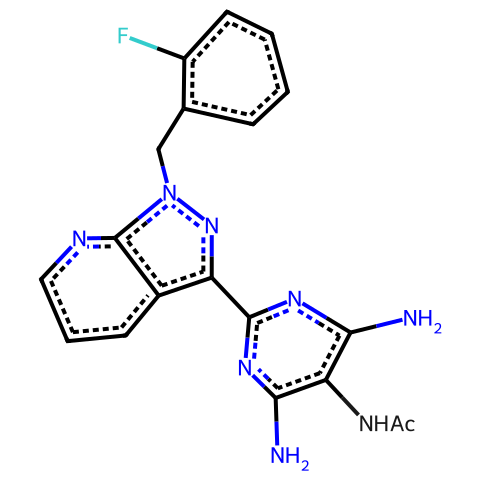 CC(=O)Nc1c(N)nc(-c2nn(Cc3ccccc3F)c3ncccc23)nc1N